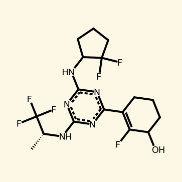 C[C@@H](Nc1nc(NC2CCCC2(F)F)nc(C2=C(F)C(O)CCC2)n1)C(F)(F)F